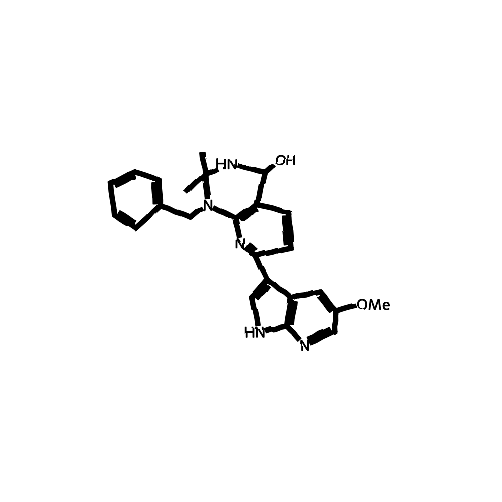 COc1cnc2[nH]cc(-c3ccc4c(n3)N(Cc3ccccc3)C(C)(C)NC4O)c2c1